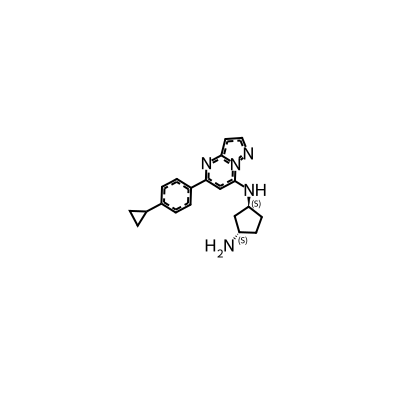 N[C@H]1CC[C@H](Nc2cc(-c3ccc(C4CC4)cc3)nc3ccnn23)C1